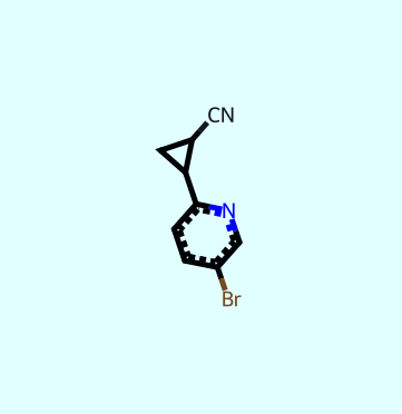 N#CC1CC1c1ccc(Br)cn1